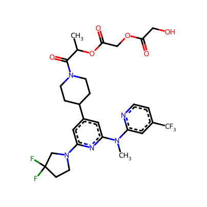 CC(OC(=O)COC(=O)CO)C(=O)N1CCC(c2cc(N3CCC(F)(F)C3)nc(N(C)c3cc(C(F)(F)F)ccn3)c2)CC1